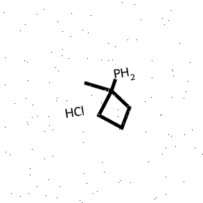 CC1(P)CCC1.Cl